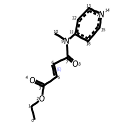 CCOC(=O)/C=C/C(=O)N(C)c1ccncc1